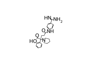 N=C(N)c1ccc(NC(=O)CCC(C(=O)O)(c2ccccc2)N2CCCCC2)cc1